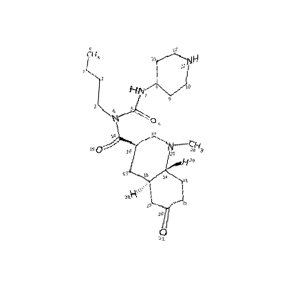 CCCCN(C(=O)NC1CCNCC1)C(=O)[C@@H]1C[C@@H]2CC(=O)CC[C@H]2N(C)C1